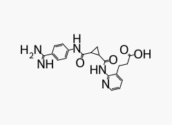 N=C(N)c1ccc(NC(=O)C2CC2C(=O)Nc2ncccc2CCC(=O)O)cc1